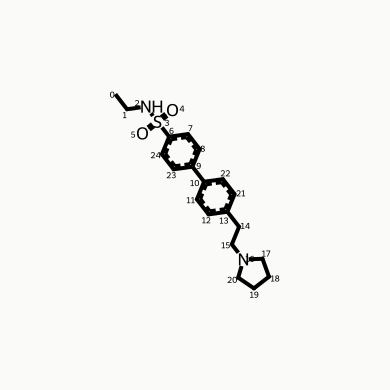 CCNS(=O)(=O)c1ccc(-c2ccc(CCN3CCCC3)cc2)cc1